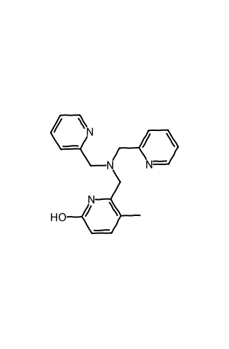 Cc1ccc(O)nc1CN(Cc1ccccn1)Cc1ccccn1